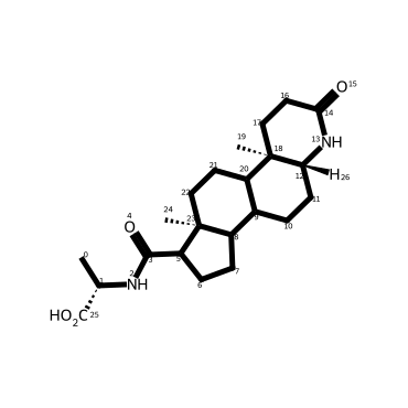 C[C@H](NC(=O)C1CCC2C3CC[C@H]4NC(=O)CC[C@]4(C)C3CC[C@]12C)C(=O)O